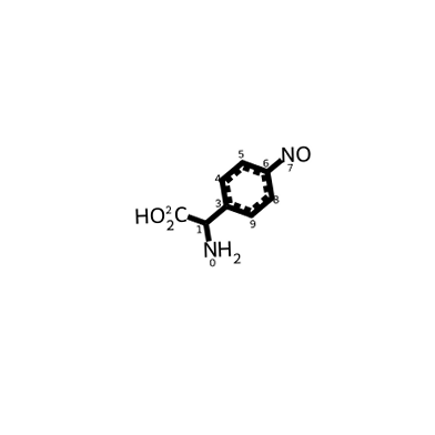 NC(C(=O)O)c1ccc(N=O)cc1